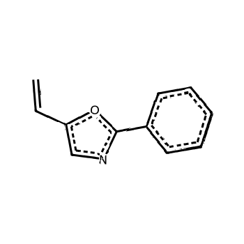 C=Cc1cnc(-c2ccccc2)o1